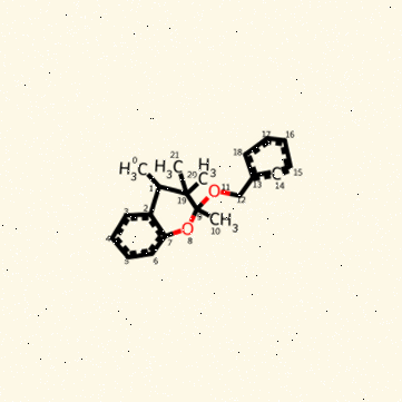 CC1c2ccccc2OC(C)(OCc2ccccc2)C1(C)C